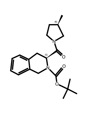 C[C@@H]1CCN(C(=O)[C@@H]2Cc3ccccc3CN2C(=O)OC(C)(C)C)C1